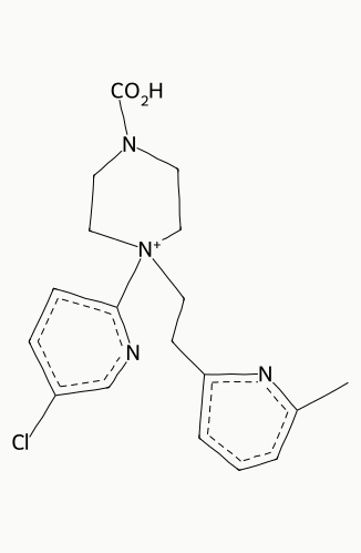 Cc1cccc(CC[N+]2(c3ccc(Cl)cn3)CCN(C(=O)O)CC2)n1